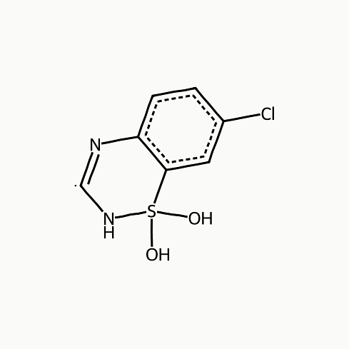 OS1(O)N[C]=Nc2ccc(Cl)cc21